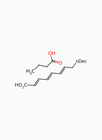 CCCC(=O)O.CCCCCCCCCCCC=CC=CC=CC(=O)O